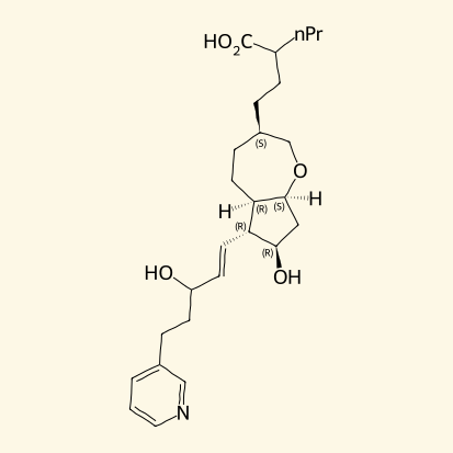 CCCC(CC[C@@H]1CC[C@@H]2[C@@H](C=CC(O)CCc3cccnc3)[C@H](O)C[C@@H]2OC1)C(=O)O